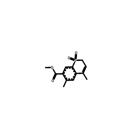 COC(=O)c1cc2c(cc1C)C(C)=CCS2(=O)=O